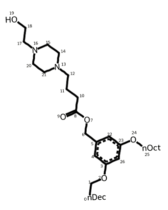 CCCCCCCCCCCOc1cc(COC(=O)CCCN2CCN(CCO)CC2)cc(OCCCCCCCC)c1